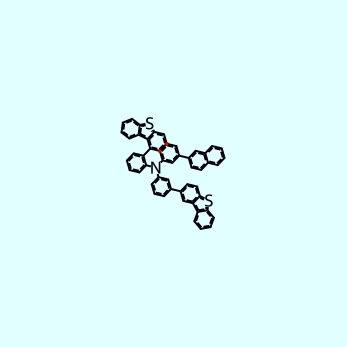 c1cc(-c2ccc3ccccc3c2)cc(N(c2cccc(-c3ccc4sc5ccccc5c4c3)c2)c2ccccc2-c2cccc3sc4ccccc4c23)c1